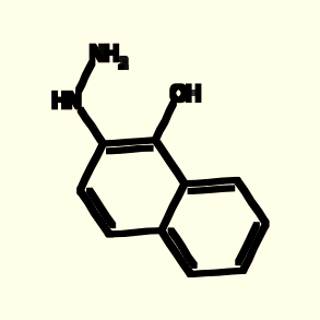 NNc1ccc2ccccc2c1O